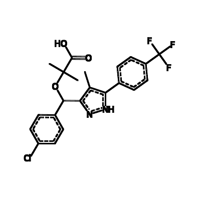 Cc1c(C(OC(C)(C)C(=O)O)c2ccc(Cl)cc2)n[nH]c1-c1ccc(C(F)(F)F)cc1